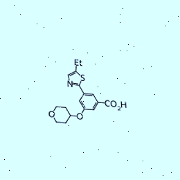 CCc1cnc(-c2cc(OC3CCOCC3)cc(C(=O)O)c2)s1